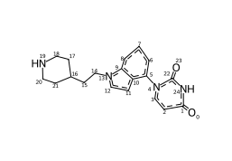 O=c1ccn(-c2cccc3c2ccn3CCC2CCNCC2)c(=O)[nH]1